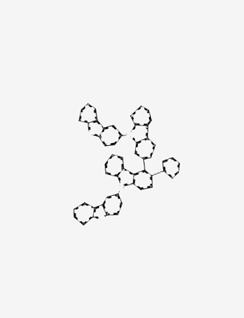 c1ccc(-c2ccc3c(c2-c2ccc4c5ccccc5n(-c5ccc6oc7ccccc7c6c5)c4c2)c2ccccc2n3-c2ccc3oc4ccccc4c3c2)cc1